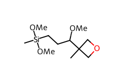 COC(CC[Si](C)(OC)OC)C1(C)COC1